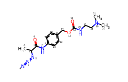 CC(N=[N+]=[N-])C(=O)Nc1ccc(COC(=O)NCCN(C)C)cc1